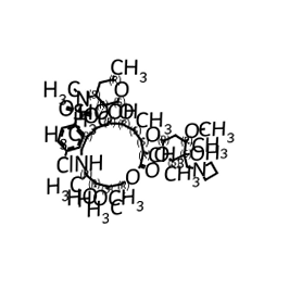 CC[C@H]1OC(=O)[C@H](C)[C@@H](O[C@H]2C[C@@](C)(OC)[C@](O)(CN3CCC3)[C@H](C)O2)[C@H](C)[C@@H](O[C@@H]2O[C@H](C)C[C@H](N(C)S(=O)(=O)c3ccc(Cl)cc3)[C@H]2O)[C@](C)(O)C[C@@H](C)CN[C@H](C)[C@@H](O)[C@]1(C)O